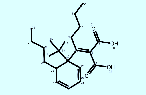 CCCCC(=C(C(=O)O)C(=O)O)C1(C(C)(C)C)C=CC=CC1CCCC